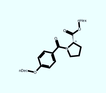 CCCCCCCCCCOc1ccc(C(=O)N2CCC[C@H]2C(=O)OCCCCCC)cc1